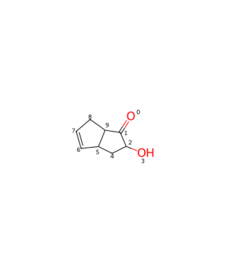 O=C1C(O)CC2C=CCC12